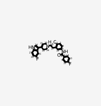 Cc1ccc(NC(=O)c2ccc(F)cc2)cc1CCN1CC=C(c2c[nH]c3ccc(F)cc23)CC1